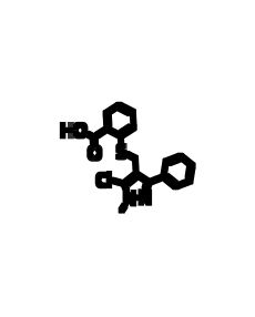 Cn1nc(-c2ccccc2)c(CSc2ccccc2C(=O)O)c1Cl